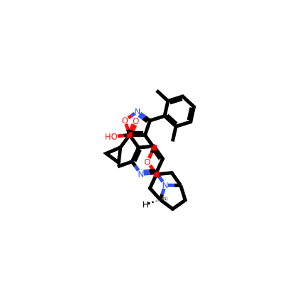 Cc1cccc(C)c1-c1noc(C2CC2)c1COC1CC2CC[C@@H](C1)N2c1ccc(C(=O)O)c(C)n1